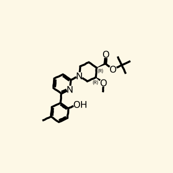 CO[C@H]1CN(c2cccc(-c3cc(C)ccc3O)n2)CC[C@H]1C(=O)OC(C)(C)C